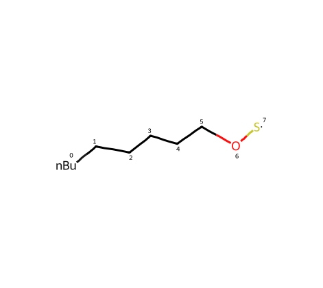 CCCCCCCCCO[S]